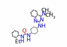 CCc1ccccc1NC(=O)NC1CCC(Nc2nc(N(C)C)c3ccccc3n2)CC1